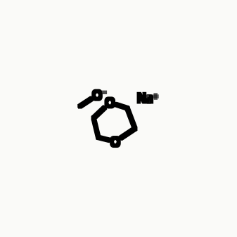 C1COCCO1.C[O-].[Na+]